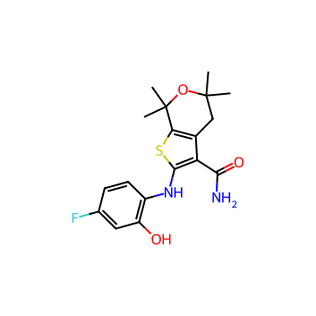 CC1(C)Cc2c(sc(Nc3ccc(F)cc3O)c2C(N)=O)C(C)(C)O1